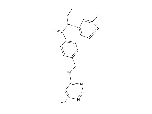 CCN(C(=O)c1ccc(CNc2cc(Cl)ncn2)cc1)c1cccc(C)c1